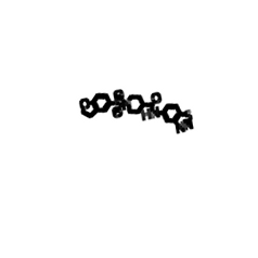 O=C(Nc1ccc2snnc2c1)C1CCN(S(=O)(=O)c2ccc3c(c2)CCO3)CC1